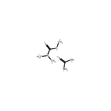 COC(=S)N(C)C.NC(O)=S